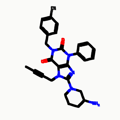 CC#CCn1c(N2CCCC(N)C2)nc2c1c(=O)n(Cc1ccc(C#N)cc1)c(=O)n2-c1ccccc1